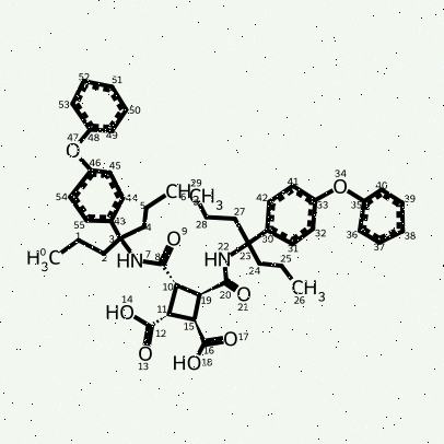 CCCC(CCC)(NC(=O)[C@H]1[C@@H](C(=O)O)[C@H](C(=O)O)[C@@H]1C(=O)NC(CCC)(CCC)c1ccc(Oc2ccccc2)cc1)c1ccc(Oc2ccccc2)cc1